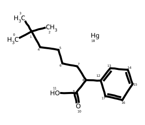 CC(C)(C)CCCCC(C(=O)O)c1ccccc1.[Hg]